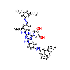 COc1cc(/N=N/c2cc(C(=O)O)cc(C(=O)O)c2)ccc1Nc1nc(Nc2ccc(/N=N/c3cc(S(=O)(=O)O)c4cccc(S(=O)(=O)O)c4c3)cc2)nc(N(CCO)CCO)n1